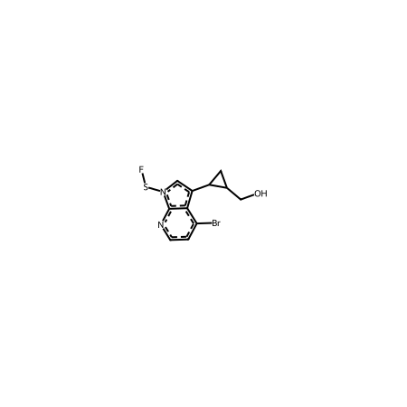 OCC1CC1c1cn(SF)c2nccc(Br)c12